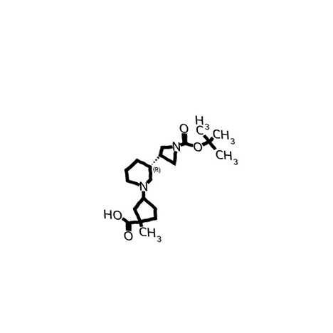 CC(C)(C)OC(=O)N1CC([C@H]2CCCN(C3CCC(C)(C(=O)O)C3)C2)C1